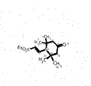 CCOC(=O)/C=C/N1C(C)(C)CC(=O)CC1(C)C